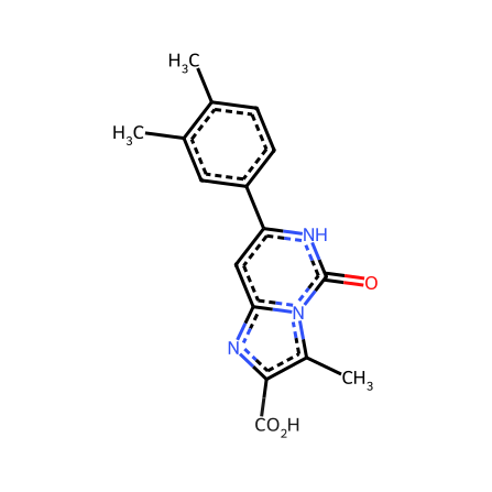 Cc1ccc(-c2cc3nc(C(=O)O)c(C)n3c(=O)[nH]2)cc1C